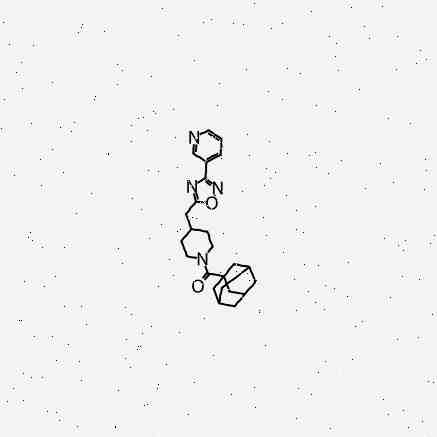 O=C(N1CCC(Cc2nc(-c3cccnc3)no2)CC1)C12CC3CC(CC(C3)C1)C2